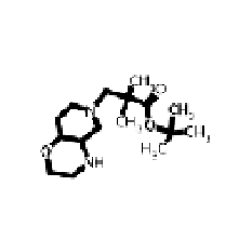 CC(C)(C)OC(=O)C(C)(C)CN1CCC2OCCNC2C1